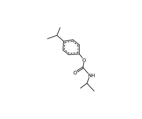 CC(C)NC(=O)Oc1ccc(C(C)C)cc1